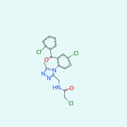 Cc1nnc(CNC(=O)CCl)n1-c1ccc(Cl)cc1C(=O)c1ccccc1Cl